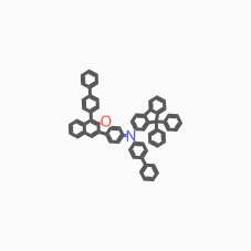 c1ccc(-c2ccc(-c3c4ccccc4cc4c3oc3cc(N(c5ccc(-c6ccccc6)cc5)c5ccc6c(c5)C(c5ccccc5)(c5ccccc5)c5ccccc5-6)ccc34)cc2)cc1